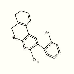 CCCc1ccccc1-c1cc2c(cc1C)NCC1=C2C=CCC1